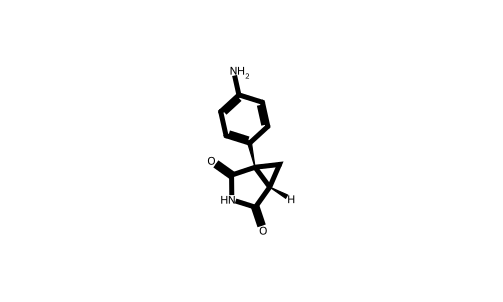 Nc1ccc([C@@]23C[C@@H]2C(=O)NC3=O)cc1